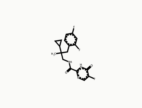 CC(CNC(=O)c1ncc(F)c(=O)[nH]1)(Cc1ccc(F)cc1F)C1CC1